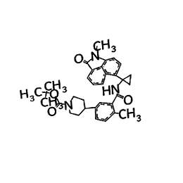 Cc1ccc(C2CCN(C(=O)OC(C)(C)C)CC2)cc1C(=O)NC1(c2ccc3c4c(cccc24)C(=O)N3C)CC1